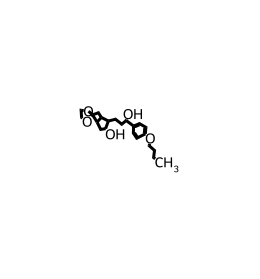 CCCCOc1ccc(C(O)CCC2C(O)CC3C2CC32OCCO2)cc1